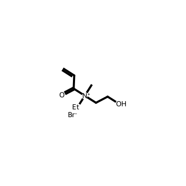 C=CC(=O)[N+](C)(CC)CCO.[Br-]